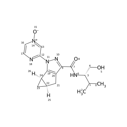 CC(C)[C@@H](CO)NC(=O)c1nn(-c2c[n+]([O-])ccn2)c2c1C[C@H]1C[C@@H]21